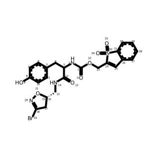 O=C(NC(Cc1ccc(O)cc1)C(=O)NC[C@@H]1CC(Br)=NO1)OCC1=Cc2ccccc2S1(=O)=O